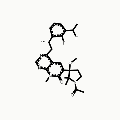 COC1(c2cc3c(C[C@H](C)c4cccc(C(C)F)c4F)ncnc3n(C)c2=O)CCN(C(C)=O)C1(C)C